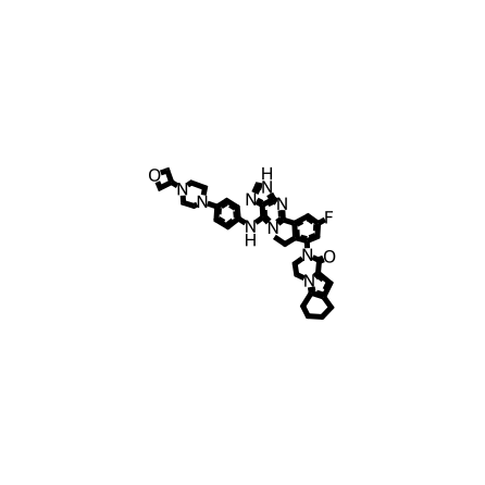 CCc1c(-c2nc(Nc3ccc(N4CCN(C5COC5)CC4)cc3)c3nc[nH]c3n2)cc(F)cc1N1CCn2c(cc3c2CCCC3)C1=O